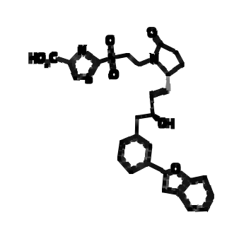 O=C(O)c1csc(S(=O)(=O)CCN2C(=O)CC[C@@H]2C=C[C@@H](O)Cc2cccc(-c3cc4ccccc4o3)c2)n1